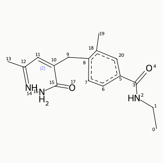 CCNC(=O)c1ccc(C/C(=C/C(C)=N)C(N)=O)c(C)c1